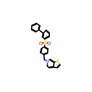 O=S(=O)(c1ccc(CN2C=c3sccc3=CC2)cc1)c1cccc(-c2ccccc2)c1